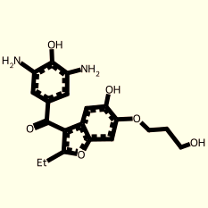 CCc1oc2cc(OCCCO)c(O)cc2c1C(=O)c1cc(N)c(O)c(N)c1